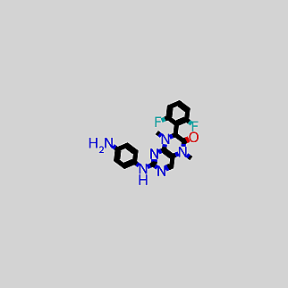 CN1C(=O)C(c2c(F)cccc2F)N(C)c2nc(Nc3ccc(N)cc3)ncc21